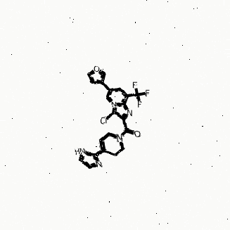 O=C(c1nc2c(C(F)(F)F)cc(-c3ccoc3)cn2c1Cl)N1CC=C(c2ncc[nH]2)CC1